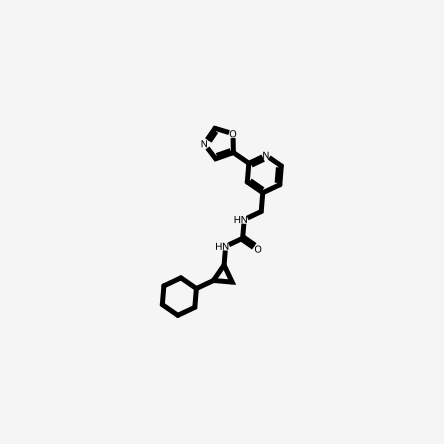 O=C(NCc1ccnc(-c2cnco2)c1)NC1CC1C1CCCCC1